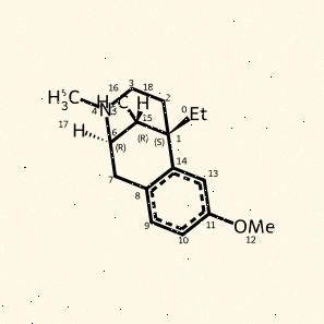 CC[C@@]12CCN(C)[C@H](Cc3ccc(OC)cc31)[C@@H]2C